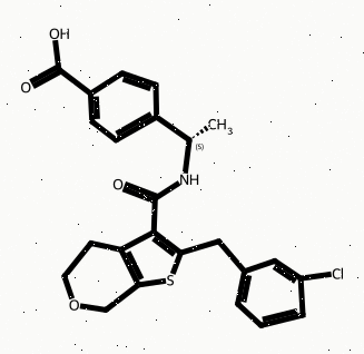 C[C@H](NC(=O)c1c(Cc2cccc(Cl)c2)sc2c1CCOC2)c1ccc(C(=O)O)cc1